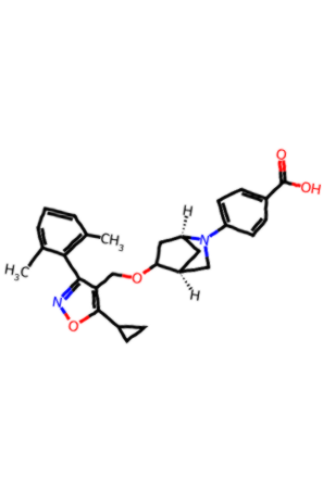 Cc1cccc(C)c1-c1noc(C2CC2)c1COC1C[C@@H]2C[C@H]1CN2c1ccc(C(=O)O)cc1